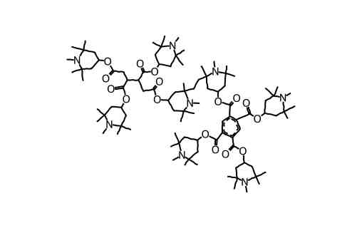 CN1C(C)(C)CC(OC(=O)CC(C(=O)OC2CC(C)(C)N(C)C(C)(C)C2)C(CC(=O)OC2CC(C)(C)N(C)C(C)(CCC3(C)CC(OC(=O)c4cc(C(=O)OC5CC(C)(C)N(C)C(C)(C)C5)c(C(=O)OC5CC(C)(C)N(C)C(C)(C)C5)cc4C(=O)OC4CC(C)(C)N(C)C(C)(C)C4)CC(C)(C)N3C)C2)C(=O)OC2CC(C)(C)N(C)C(C)(C)C2)CC1(C)C